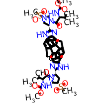 COC(=O)N[C@H](C(=O)N1CC(S(C)(=O)=O)C[C@H]1c1nc2cc(-c3cc4ccc3CCc3ccc(c(-c5ccc6[nH]c([C@@H]7CN(S(C)(=O)=O)CN7C(=O)[C@@H](NC(=O)OC)C(C)C)nc6c5)c3)CC4)ccc2[nH]1)C(C)C